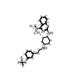 CN(C)c1nc(N[C@H]2CC[C@@H](NCCc3cccc(SC(F)(F)F)c3)CC2)nc2ccccc12